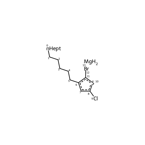 CCCCCCCCCCCCc1cc(Cl)sc1Br.[MgH2]